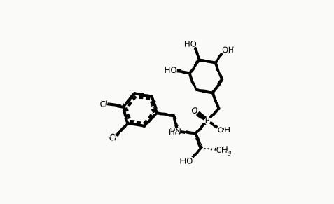 C[C@H](O)C(NCc1ccc(Cl)c(Cl)c1)P(=O)(O)CC1CC(O)C(O)C(O)C1